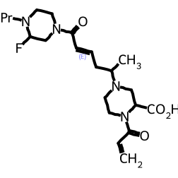 C=CC(=O)N1CCN(C(C)C/C=C/C(=O)N2CCN(C(C)C)C(F)C2)CC1C(=O)O